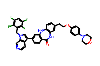 O=C1Nc2cc(CCOc3ccc(N4CCOCC4)cc3)ccc2Nc2cc(-c3cn(Cc4c(F)c(F)cc(F)c4F)c4cnccc34)ccc21